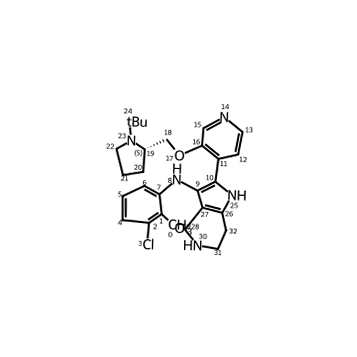 Cc1c(Cl)cccc1Nc1c(-c2ccncc2OC[C@@H]2CCCN2C(C)(C)C)[nH]c2c1C(=O)NCC2